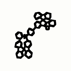 c1ccc(N(c2ccc(-c3ccc4c(c3)-c3oc5ccccc5c3C43c4ccccc4-c4ccccc43)cc2)c2ccc3c(c2)C2(c4ccccc4-c4ccccc42)c2ccccc2-3)cc1